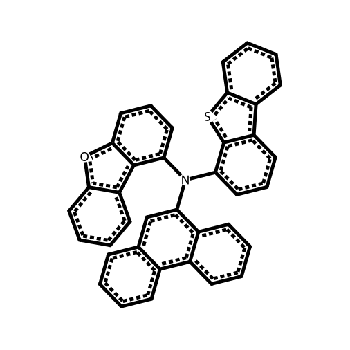 c1ccc2c(c1)cc(N(c1cccc3c1sc1ccccc13)c1cccc3oc4ccccc4c13)c1ccccc12